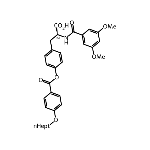 CCCCCCCOc1ccc(C(=O)Oc2ccc(C[C@H](NC(=O)c3cc(OC)cc(OC)c3)C(=O)O)cc2)cc1